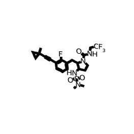 CN(C)S(=O)(=O)NC1CCN(C(=O)NCC(F)(F)F)C1Cc1cccc(C#CC2(C)CC2)c1F